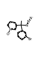 CC(N=[N+]=[N-])(c1cccc(Br)c1)c1ccc[n+]([O-])c1